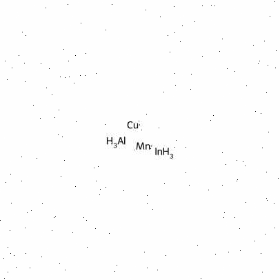 [AlH3].[Cu].[InH3].[Mn]